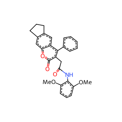 COc1cccc(OC)c1NC(=O)Cc1c(-c2ccccc2)c2cc3c(cc2oc1=O)CCC3